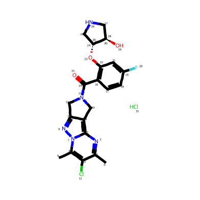 Cc1nc2c3c(nn2c(C)c1Cl)CN(C(=O)c1ccc(F)cc1O[C@@H]1CNC[C@H]1O)C3.Cl